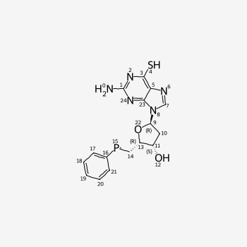 Nc1nc(S)c2ncn([C@H]3C[C@H](O)[C@H](C[P]c4ccccc4)O3)c2n1